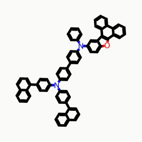 c1ccc(N(c2ccc(-c3ccc(N(c4ccc(-c5cccc6ccccc56)cc4)c4ccc(-c5cccc6ccccc56)cc4)cc3)cc2)c2ccc3oc4c5ccccc5c5ccccc5c4c3c2)cc1